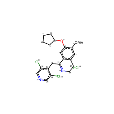 COc1cc2c(cc1OC1CCCC1)C(Cc1c(Cl)cncc1Cl)=NCC2.Cl